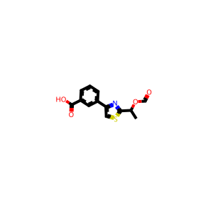 CC(OC=O)c1nc(-c2cccc(C(=O)O)c2)cs1